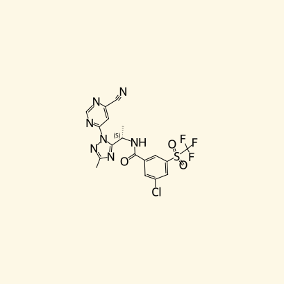 Cc1nc([C@H](C)NC(=O)c2cc(Cl)cc(S(=O)(=O)C(F)(F)F)c2)n(-c2cc(C#N)ncn2)n1